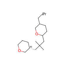 CC(C)CC1CCC(CC(C)(C)C[C@H]2CCCOC2)OC1